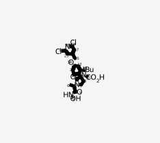 CC(C(=O)NO)N1CCC(c2ccc(OCc3cc(Cl)nc(Cl)c3)cc2)(N(C(=O)O)C(C)(C)C)C1=O